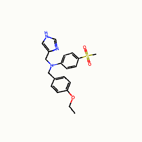 CCOc1ccc(CN(Cc2c[nH]cn2)c2ccc(S(C)(=O)=O)cc2)cc1